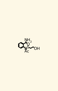 CC(=O)N(SCCO)c1ccccc1C(N)=O